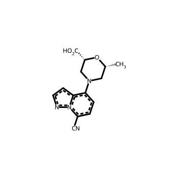 C[C@@H]1CN(c2ccc(C#N)n3nccc23)C[C@H](C(=O)O)O1